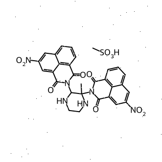 CC1(N2C(=O)c3cccc4cc([N+](=O)[O-])cc(c34)C2=O)NCCNC1N1C(=O)c2cccc3cc([N+](=O)[O-])cc(c23)C1=O.CS(=O)(=O)O